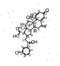 CC12C[C@H](O)[C@@]3(F)[C@@H](C[C@H](F)C4=CC(=O)C=C[C@@]43C)C1C[C@@H](CN(O)c1cccc(Cl)c1)[C@@H]2C(=O)O